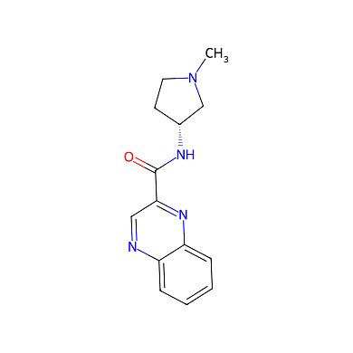 CN1CC[C@@H](NC(=O)c2cnc3ccccc3n2)C1